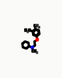 Cc1ccc(OCCN(C)C2CCCCC2)cc1C